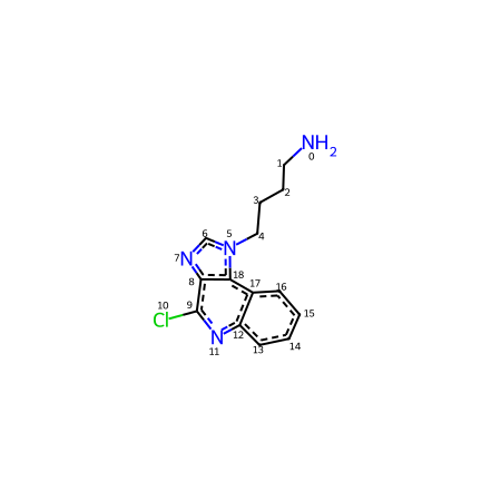 NCCCCn1cnc2c(Cl)nc3ccccc3c21